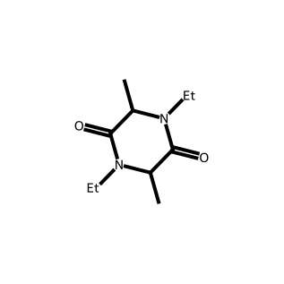 CCN1C(=O)C(C)N(CC)C(=O)C1C